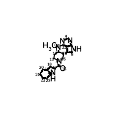 CN(c1ncnc2[nH]ccc12)C1CCN(C(=O)c2cc3ccccc3[nH]2)CC1